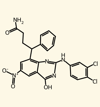 NC(=O)CCC(c1ccccc1)c1cc([N+](=O)[O-])cc2c(O)nc(Nc3ccc(Cl)c(Cl)c3)nc12